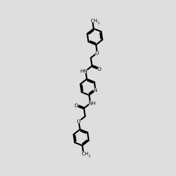 Cc1ccc(OCC(=O)Nc2ccc(NC(=O)COc3ccc(C)cc3)nc2)cc1